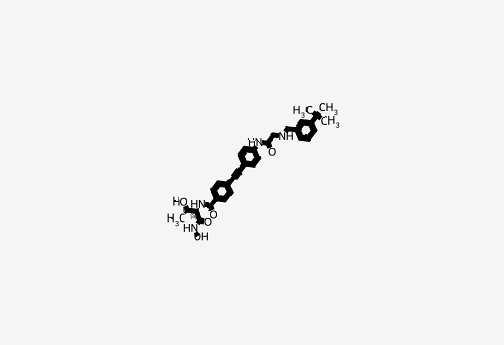 C[C@@H](O)[C@H](NC(=O)c1ccc(C#Cc2ccc(NC(=O)CNCc3cccc(C(C)(C)C)c3)cc2)cc1)C(=O)NO